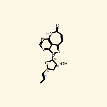 C/C=C/[C@@H]1C[C@@H](O)[C@H](n2nc3c4c(ncnc42)NC(=O)C=C3)O1